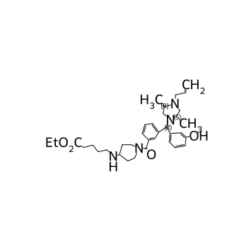 C=CCN1C[C@H](C)N([C@@H](c2cccc(O)c2)c2cccc(C(=O)N3CCC(NCCCCC(=O)OCC)CC3)c2)C[C@H]1C